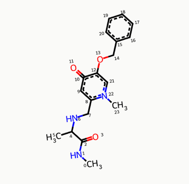 CNC(=O)C(C)NCc1cc(=O)c(OCc2ccccc2)cn1C